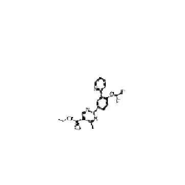 CCOC(=O)c1cnc(-c2ccc(OC(F)F)c(-c3ccccn3)c2)nc1C